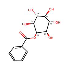 O=C(O[C@@H]1[C@H](O)[C@@H](O)[C@H](O)[C@@H](O)[C@@H]1O)c1ccccc1